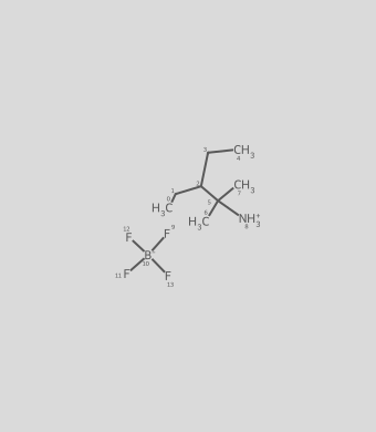 CCC(CC)C(C)(C)[NH3+].F[B-](F)(F)F